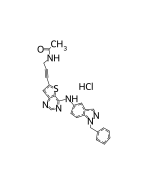 CC(=O)NCC#Cc1cc2ncnc(Nc3ccc4c(cnn4Cc4ccccc4)c3)c2s1.Cl